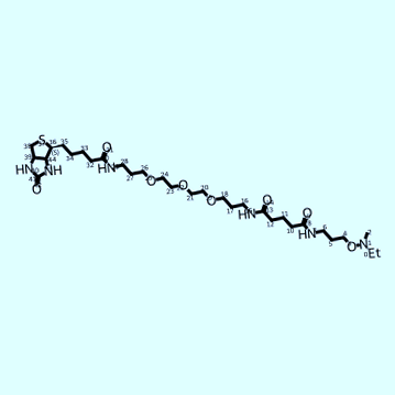 CCN(C)OCCCNC(=O)CCCC(=O)NCCCOCCOCCOCCCNC(=O)CCCC[C@@H]1SCC2NC(=O)NC21